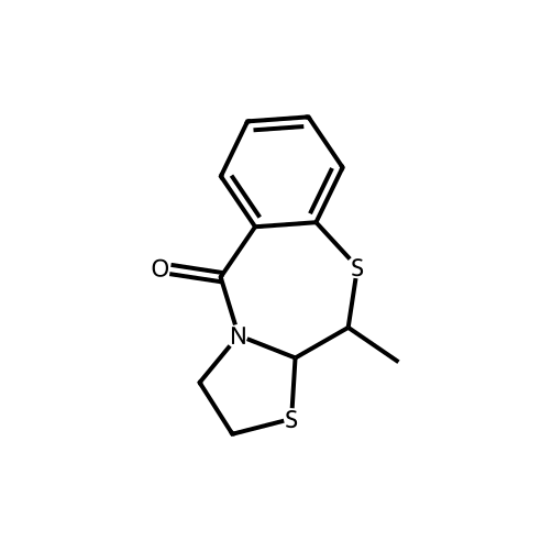 CC1Sc2ccccc2C(=O)N2CCSC12